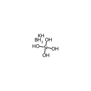 B.O[Si](O)(O)O.[KH]